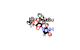 CC(C)(C)[Si](C)(C)OC[C@H]1O[C@@H](n2ccc(=O)[nH]c2=O)[C@H](O[Si](C)(C)C(C)(C)C)[C@@H]1OCCl